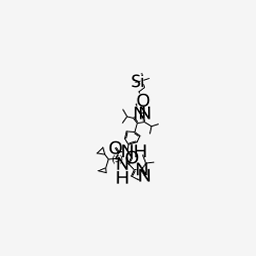 CC(C)c1nn(COCC[Si](C)(C)C)c(C(C)C)c1-c1ccc(NC(=O)[C@@H](NC(=O)c2ccnn2C(C)C)C(C2CC2)C2CC2)cc1